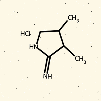 CC1CNC(=N)C1C.Cl